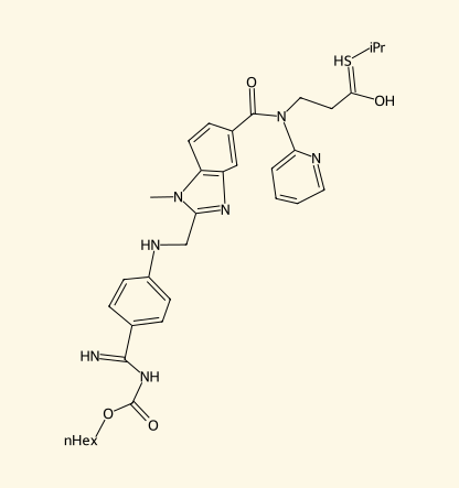 CCCCCCOC(=O)NC(=N)c1ccc(NCc2nc3cc(C(=O)N(CCC(O)=[SH]C(C)C)c4ccccn4)ccc3n2C)cc1